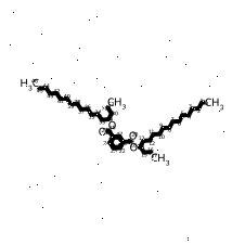 CCCCCCCCCCCCCCC(CCC)OC(=O)c1cccc(C(=O)OC(CCC)CCCCCCCCCCCCCC)c1